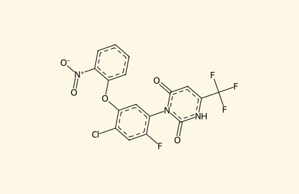 O=c1cc(C(F)(F)F)[nH]c(=O)n1-c1cc(Oc2ccccc2[N+](=O)[O-])c(Cl)cc1F